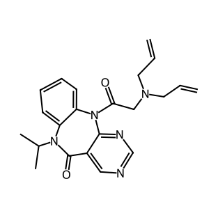 C=CCN(CC=C)CC(=O)N1c2ccccc2N(C(C)C)C(=O)c2cncnc21